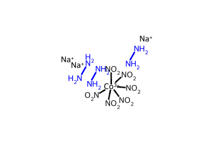 NN.NN.NN.O=[N+]([O-])[Co-3]([N+](=O)[O-])([N+](=O)[O-])([N+](=O)[O-])([N+](=O)[O-])[N+](=O)[O-].[Na+].[Na+].[Na+]